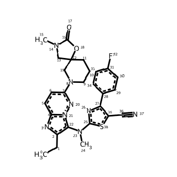 CCc1nc2ccc(N3CCCC4(CN(C)C(=O)O4)C3)nn2c1N(C)c1nc(-c2ccc(F)cc2)c(C#N)s1